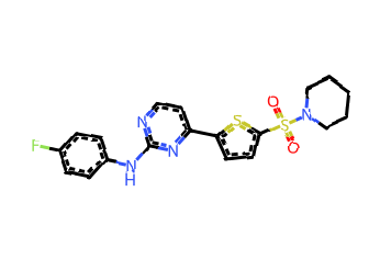 O=S(=O)(c1ccc(-c2ccnc(Nc3ccc(F)cc3)n2)s1)N1CCCCC1